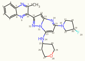 Cc1nc2ccccc2nc1-c1cc2nc(N3CC[C@@H](F)C3)cc(NC3CCOCC3)n2n1